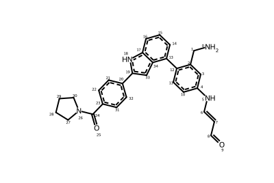 NCc1cc(NC=CC=O)ccc1-c1cccc2[nH]c(-c3ccc(C(=O)N4CCCC4)cc3)cc12